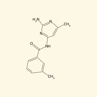 Cc1cccc(C(=O)Nc2cc(C)nc(N)n2)c1